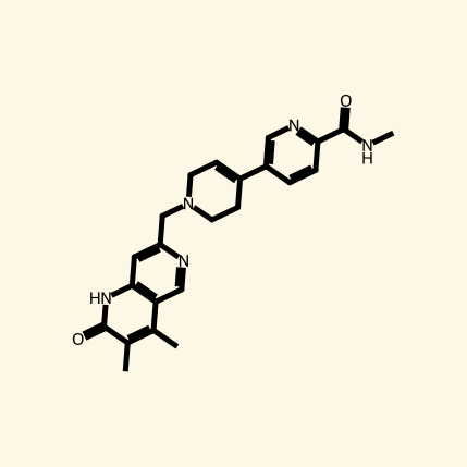 CNC(=O)c1ccc(C2=CCN(Cc3cc4[nH]c(=O)c(C)c(C)c4cn3)CC2)cn1